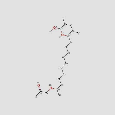 COC1=C(C)CC(C)=C(CCCCCCCCCC(C)OCC(C)=O)O1